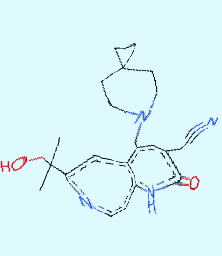 CC(C)(O)c1cc2c(N3CCC4(CC3)CC4)c(C#N)c(=O)[nH]c2cn1